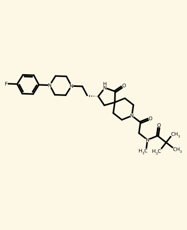 CN(CC(=O)N1CCC2(CC1)C[C@H](CCN1CCN(c3ccc(F)cc3)CC1)NC2=O)C(=O)C(C)(C)C